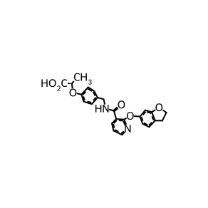 C[C@@H](Oc1ccc(CNC(=O)c2cccnc2Oc2ccc3c(c2)OCC3)cc1)C(=O)O